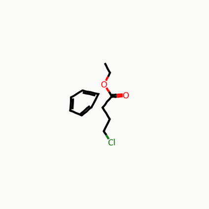 CCOC(=O)CCCCl.c1ccccc1